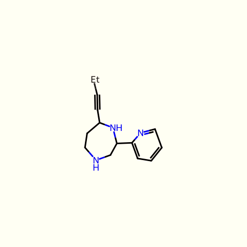 CCC#CC1CCNCC(c2ccccn2)N1